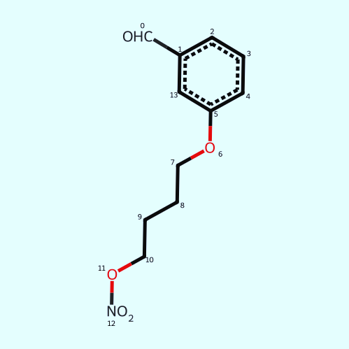 O=Cc1cccc(OCCCCO[N+](=O)[O-])c1